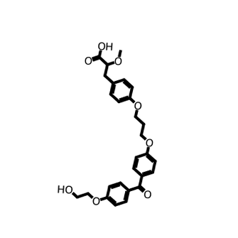 COC(Cc1ccc(OCCCOc2ccc(C(=O)c3ccc(OCCO)cc3)cc2)cc1)C(=O)O